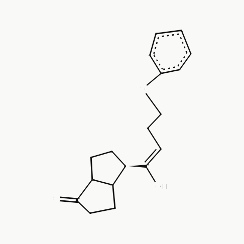 O=C1CCC2C1CC[C@H]2/C(O)=C\CCOc1ccccc1